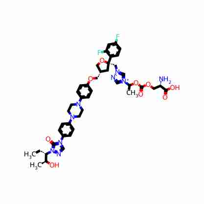 CC[C@@H]([C@H](C)O)n1ncn(-c2ccc(N3CCN(c4ccc(OC[C@@H]5CO[C@@](Cn6c[n+](C(C)OC(=O)OC[C@H](N)C(=O)O)cn6)(c6ccc(F)cc6F)C5)cc4)CC3)cc2)c1=O